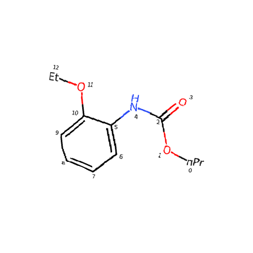 CCCOC(=O)Nc1ccccc1OCC